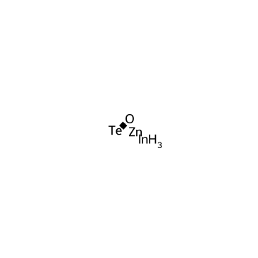 O=[Te].[InH3].[Zn]